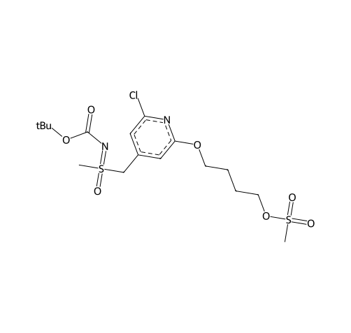 CC(C)(C)OC(=O)N=S(C)(=O)Cc1cc(Cl)nc(OCCCCOS(C)(=O)=O)c1